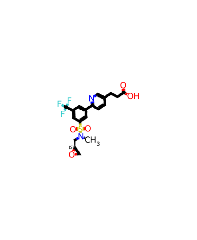 CN(C[C@H]1CO1)S(=O)(=O)c1cc(-c2ccc(CCC(=O)O)cn2)cc(C(F)(F)F)c1